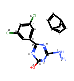 C1=CC2=CC=C1C2.NNc1nc(O)nc(-c2cc(Cl)cc(Cl)c2)n1